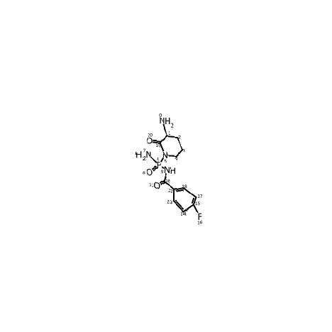 N[C@H]1CCCN(P(N)(=O)NC(=O)c2ccc(F)cc2)C1=O